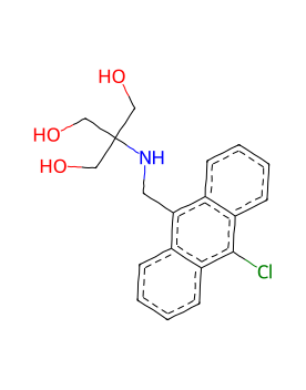 OCC(CO)(CO)NCc1c2ccccc2c(Cl)c2ccccc12